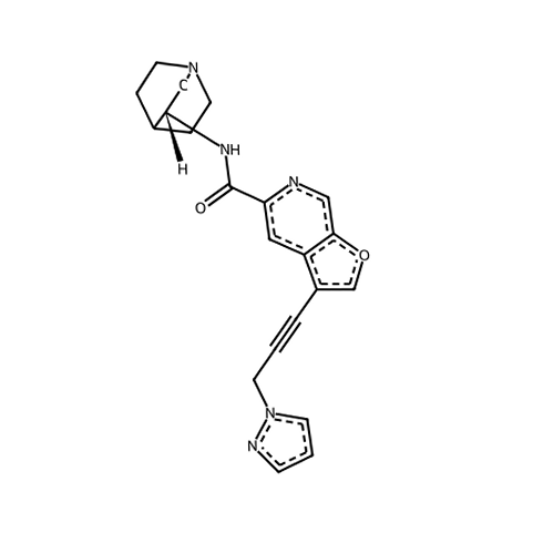 O=C(N[C@H]1CN2CCC1CC2)c1cc2c(C#CCn3cccn3)coc2cn1